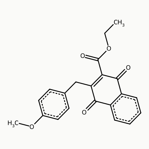 CCOC(=O)C1=C(Cc2ccc(OC)cc2)C(=O)c2ccccc2C1=O